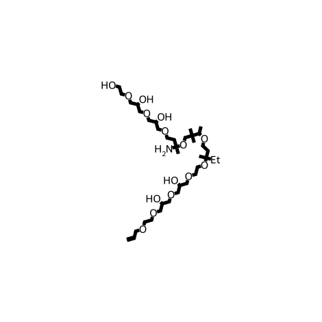 C=CCOCCOCC(O)COCC(O)COCCOC(C)(CC)CCOC(C)C(C)(C)COC(C)(N)CCOCC(O)COCC(O)COCCO